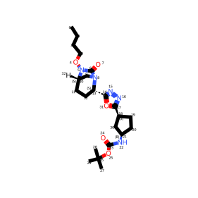 CCCCON1C(=O)N2C[C@@H]1CC[C@H]2c1nnc([C@H]2CC[C@@H](NC(=O)OC(C)(C)C)C2)o1